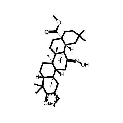 COC(=O)[C@]12CCC(C)(C)C[C@H]1[C@H]1C(=NO)C[C@@H]3[C@@]4(C)Cc5cnoc5C(C)(C)[C@@H]4CC[C@@]3(C)[C@]1(C)CC2